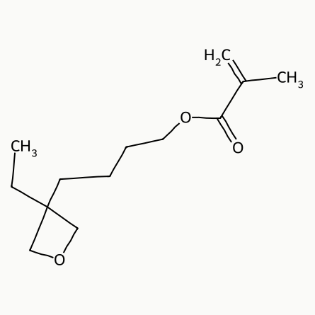 C=C(C)C(=O)OCCCCC1(CC)COC1